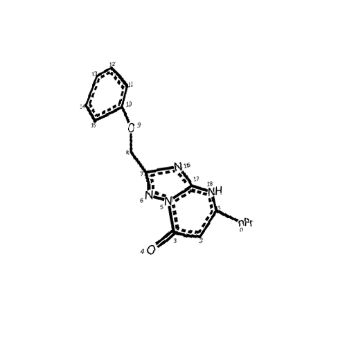 CCCc1cc(=O)n2nc(COc3ccccc3)nc2[nH]1